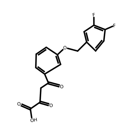 O=C(O)C(=O)CC(=O)c1cccc(OCc2ccc(F)c(F)c2)c1